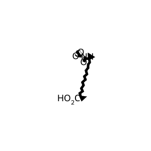 CS(=O)(=O)CNC(=O)C1(CCCCCCCCCCCCC2(C(=O)O)CC2)CC1